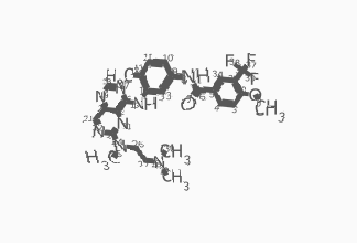 COc1ccc(C(=O)Nc2ccc(C)c(Nc3ncnc4cnc(N(C)CCN(C)C)nc34)c2)cc1C(F)(F)F